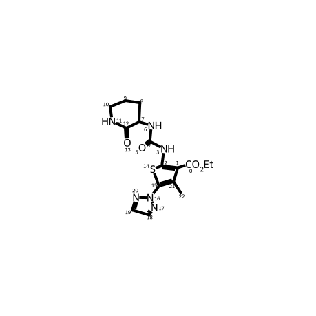 CCOC(=O)c1c(NC(=O)NC2CCCNC2=O)sc(-n2nccn2)c1C